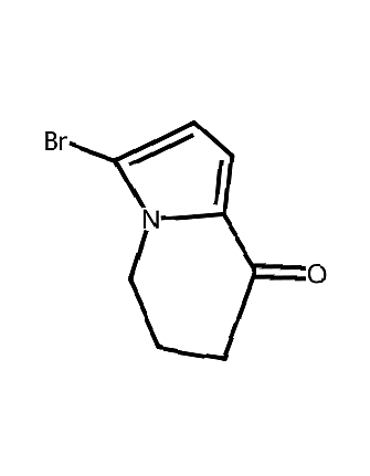 O=C1CCCn2c(Br)ccc21